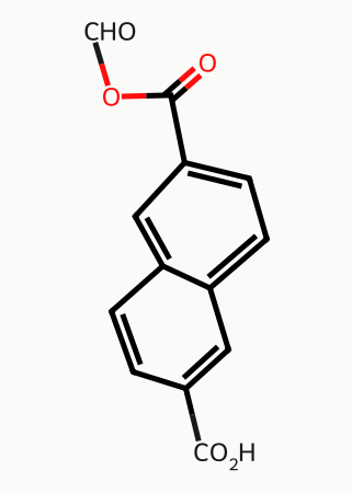 O=COC(=O)c1ccc2cc(C(=O)O)ccc2c1